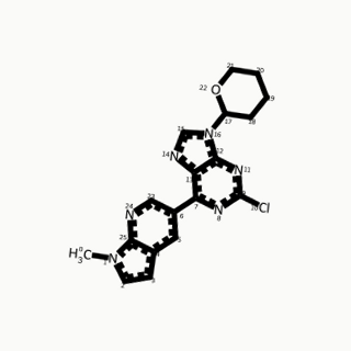 Cn1ccc2cc(-c3nc(Cl)nc4c3ncn4C3CCCCO3)cnc21